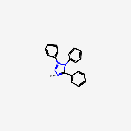 [Na+].c1ccc(-c2nn[n+](-c3ccccc3)n2-c2ccccc2)cc1